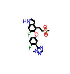 Cn1ncnc1-c1cc(Oc2c(F)cc3[nH]ccc3c2CCS(C)(=O)=O)ccc1F